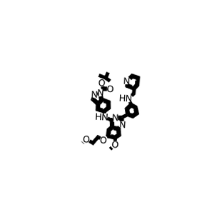 COCCOc1cc2c(Nc3ccc4c(cnn4C(=O)OC(C)(C)C)c3)nc(-c3cccc(NCc4cccnc4)c3)nc2cc1OC